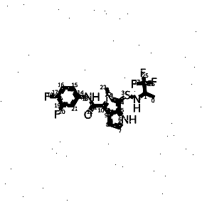 CC(NSc1c2[nH]ccc2c(C(=O)Nc2ccc(F)c(F)c2)n1C)C(F)(F)F